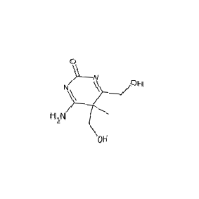 CC1(CO)C(N)=NC(=O)N=C1CO